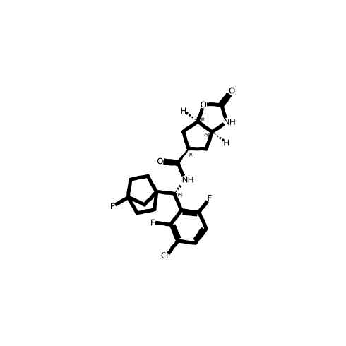 O=C1N[C@H]2C[C@@H](C(=O)N[C@H](c3c(F)ccc(Cl)c3F)C34CCC(F)(CC3)C4)C[C@H]2O1